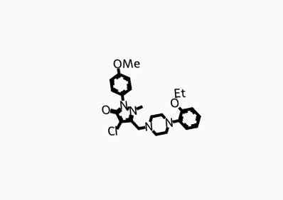 CCOc1ccccc1N1CCN(Cc2c(Cl)c(=O)n(-c3ccc(OC)cc3)n2C)CC1